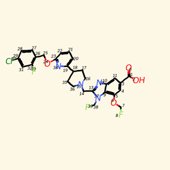 O=C(O)c1cc(OCF)c2c(c1)nc(CN1CCC(c3cccc(OCc4ccc(Cl)cc4F)n3)CC1)n2CF